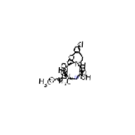 COCCOCCN1[C@@H](C)C/C=C/[C@H](O)[C@@H]2CC[C@H]2CN2CCCCc3cc(Cl)ccc3COc3ccc(cc32)C(=O)NS1(=O)=O